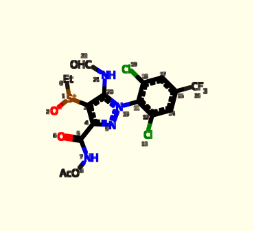 CC[S+]([O-])c1c(C(=O)NOC(C)=O)nn(-c2c(Cl)cc(C(F)(F)F)cc2Cl)c1NC=O